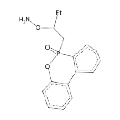 CCC(CP1(=O)Oc2ccccc2-c2ccccc21)ON